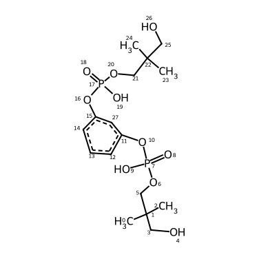 CC(C)(CO)COP(=O)(O)Oc1cccc(OP(=O)(O)OCC(C)(C)CO)c1